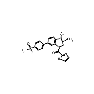 CC(=O)N1c2ccc(-c3ccc(S(C)(=O)=O)cc3)cc2N(C(=O)c2ncc[nH]2)C[C@@H]1C